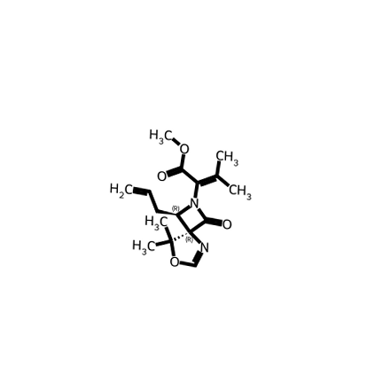 C=CC[C@H]1N(C(C(=O)OC)=C(C)C)C(=O)[C@@]12N=COC2(C)C